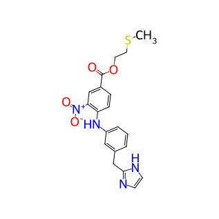 CSCCOC(=O)c1ccc(Nc2cccc(Cc3ncc[nH]3)c2)c([N+](=O)[O-])c1